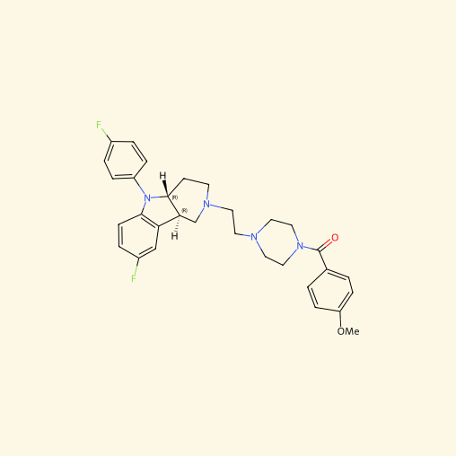 COc1ccc(C(=O)N2CCN(CCN3CC[C@@H]4[C@@H](C3)c3cc(F)ccc3N4c3ccc(F)cc3)CC2)cc1